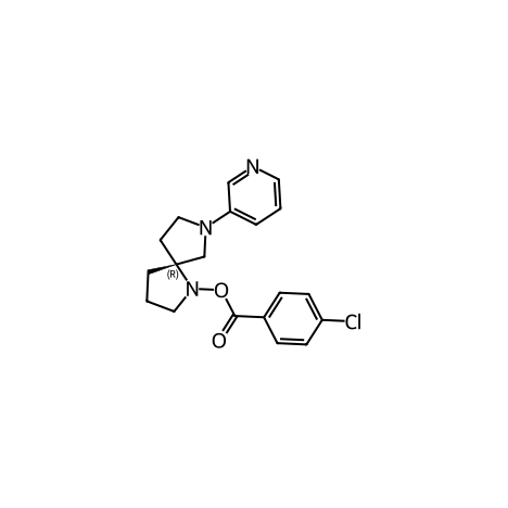 O=C(ON1CCC[C@]12CCN(c1cccnc1)C2)c1ccc(Cl)cc1